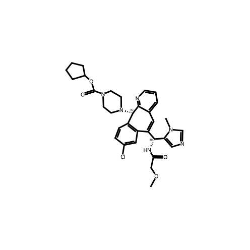 COCC(=O)N[C@H](C1=Cc2cccnc2[C@@H](N2CCN(C(=O)OC3CCCC3)CC2)c2ccc(Cl)cc21)c1cncn1C